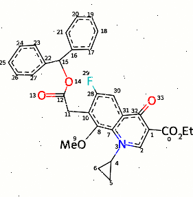 CCOC(=O)c1cn(C2CC2)c2c(OC)c(CC(=O)OC(c3ccccc3)c3ccccc3)c(F)cc2c1=O